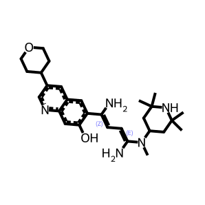 CN(/C(N)=C/C=C(\N)c1cc2cc(C3CCOCC3)cnc2cc1O)C1CC(C)(C)NC(C)(C)C1